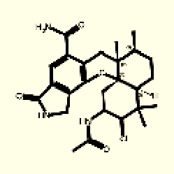 CC(=O)NC1C[C@@]23Oc4c(c(C(N)=O)cc5c4CNC5=O)C[C@]2(C)[C@@H](C)CC[C@H]3C(C)(C)C1Cl